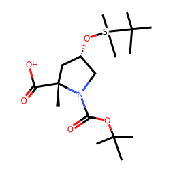 CC(C)(C)OC(=O)N1C[C@@H](O[Si](C)(C)C(C)(C)C)C[C@@]1(C)C(=O)O